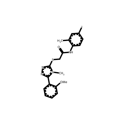 COc1ccccc1-c1nnc(SCC(=O)Nc2ccc(I)cc2C)n1C